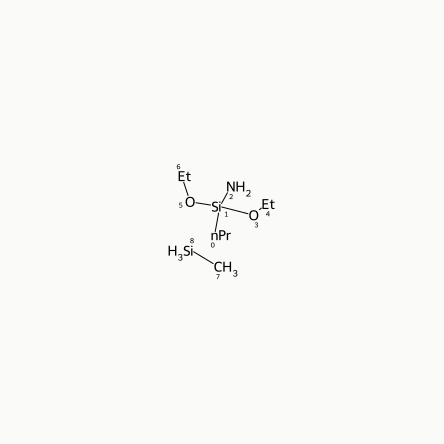 CCC[Si](N)(OCC)OCC.C[SiH3]